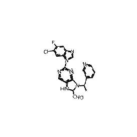 CC(c1cccnc1)N1c2nc(-n3cnc4cc(F)c(Cl)cc43)ncc2NC1C=O